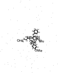 COc1ccc(S(=O)(=O)N(CCC(C)CCC=O)C[C@@H](O)[C@H](Cc2ccccc2)NC(=O)OC(C)(C)C)cc1